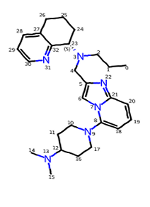 CCCN(Cc1cn2c(N3CCC(N(C)C)CC3)cccc2n1)[C@H]1CCCc2cccnc21